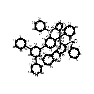 O=P1(c2ccccc2)c2ccccc2C2(c3ccccc3N(c3ccccc3)c3cc(-c4cc(-c5ccccc5)cc(-c5ccncc5)n4)ccc32)c2cc3c(cc21)oc1ccccc13